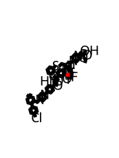 CCOP(=O)(O)CN1CCN(CC[C@H](CCSc2ccccc2)N(c2ccc(S(=O)(=O)NC(=O)c3ccc(N4CCN(CC5=C(c6ccc(Cl)cc6)CCC(C)(C)C5)CC4)cc3)cc2S(=O)(=O)C(F)(F)F)S(C)(=O)=O)CC1